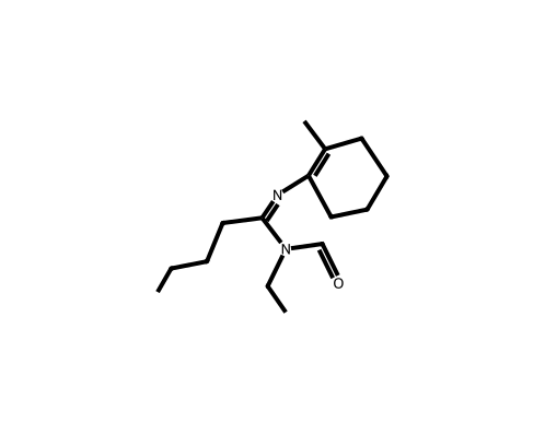 CCCC/C(=N/C1=C(C)CCCC1)N(C=O)CC